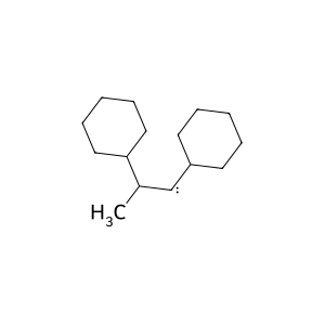 CC([C]C1CCCCC1)C1CCCCC1